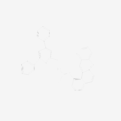 OB(O)Oc1cccc2ccc3cc4ccccc4cc3c12.Pc1cc(-c2ccccc2)cc(-c2ccccc2)c1